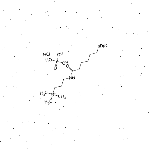 CCCCCCCCCCCCCCCC(=O)NCCC[N+](C)(C)C.Cl.O=P(O)(O)O